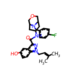 CC(C)=CCn1nc(C(=O)NC2CC3COCC(C2)N3Cc2ccc(F)cc2)c2cc(O)ccc21